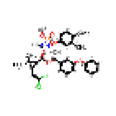 CC1(C)C(C=C(Cl)Cl)C1C(=O)O[C@H](C#N)c1cccc(Oc2ccccc2)c1.CCOP(=O)(NC(C)C)Oc1ccc(SC)c(C)c1